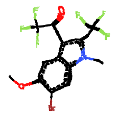 COc1cc2c(C(=O)C(F)(F)F)c(C(F)(F)F)n(C)c2cc1Br